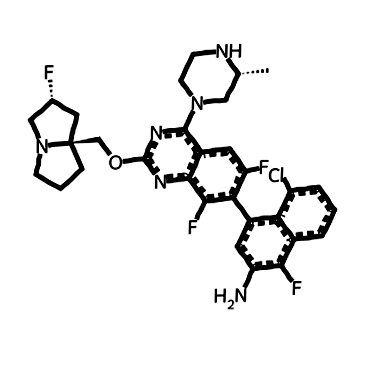 C[C@@H]1CN(c2nc(OC[C@@]34CCCN3C[C@H](F)C4)nc3c(F)c(-c4cc(N)c(F)c5cccc(Cl)c45)c(F)cc23)CCN1